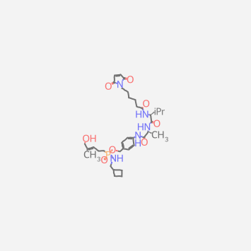 C/C(=C\CCP(=O)(NCC1CCC1)OCc1ccc(NC(=O)[C@H](C)NC(=O)[C@@H](NC(=O)CCCCCN2C(=O)C=CC2=O)C(C)C)cc1)CO